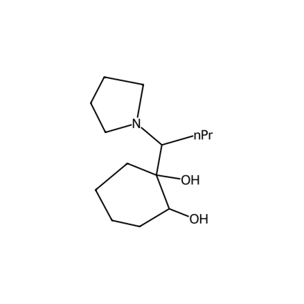 CCCC(N1CCCC1)C1(O)CCCCC1O